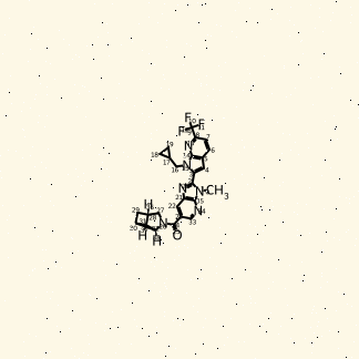 Cn1c(-c2cc3ccc(C(F)(F)F)nc3n2CC2CC2)nc2cc(C(=O)N3C[C@H]4CC5[C@H]4[C@@H]53)cnc21